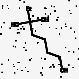 CCC(O)(O)CCCCO